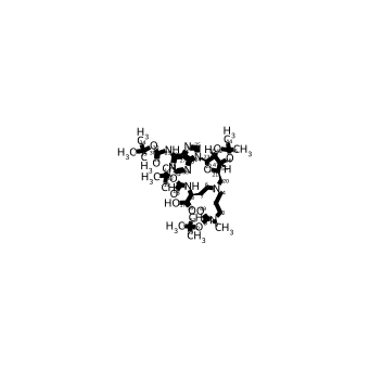 CN(CCCN(CC[C@H](NC(=O)OC(C)(C)C)C(=O)O)C[C@H]1O[C@@H](n2cnc3c(NC(=O)OC(C)(C)C)ncnc32)[C@@H]2OC(C)(C)O[C@@H]21)C(=O)OC(C)(C)C